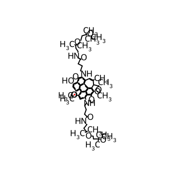 COc1c2c3c4c(c(NCCCC(=O)NCCC(C)(C)OCCC(C)(C)OC)c(=O)c5c(O)cc(OC)c(c6c(OC)cc(NCCCC(=O)NCCC(C)(C)OCCC(C)(C)OC)c(c1=O)c63)c54)C=C(C)C2C(C)=O